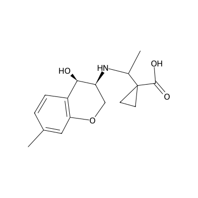 Cc1ccc2c(c1)OC[C@H](NC(C)C1(C(=O)O)CC1)[C@@H]2O